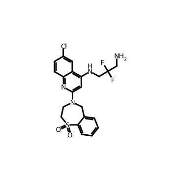 NCC(F)(F)CNc1cc(N2CCS(=O)(=O)c3ccccc3C2)nc2ccc(Cl)cc12